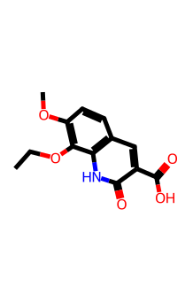 CCOc1c(OC)ccc2cc(C(=O)O)c(=O)[nH]c12